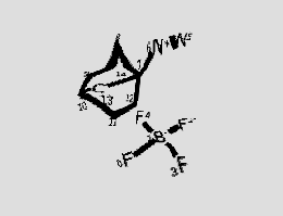 F[B-](F)(F)F.N#[N+]C12CCC(CC1)CC2